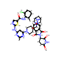 Cc1nc(Nc2ncc(C(=O)Nc3c(C)cccc3Cl)s2)cc(N2CCC(CN3CC4CC(C3)N4c3ccc4c(c3)C(=O)N(C3CCC(=O)NC3=O)C4=O)CC2)n1